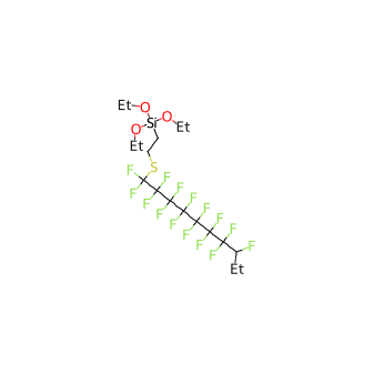 CCO[Si](CCSC(F)(F)C(F)(F)C(F)(F)C(F)(F)C(F)(F)C(F)(F)C(F)(F)C(F)CC)(OCC)OCC